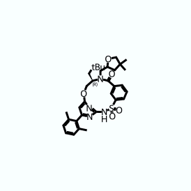 Cc1cccc(C)c1-c1cc2nc(n1)NS(=O)(=O)c1cccc(c1)C(=O)N(CC1CC(C)(C)CO1)[C@H](CC(C)(C)C)CO2